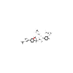 C[C@H](NC(=O)OC[C@H](c1ccc(Cl)c(-n2ncnc2C(F)F)c1)N(C=O)C(=N)NC(C)(CC(C)(C)C)c1ccc(-c2cn(C3CC3)nn2)cc1)C(F)(F)F